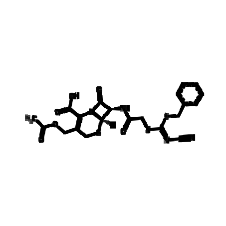 CC(=O)OCC1=C(C(=O)O)N2C(=O)[C@@H](NC(=O)CSC(=NC#N)SCc3ccccc3)[C@H]2SC1